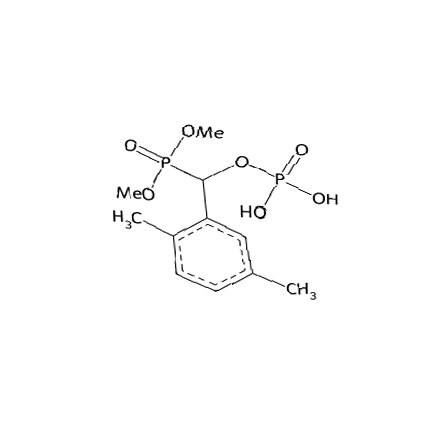 COP(=O)(OC)C(OP(=O)(O)O)c1cc(C)ccc1C